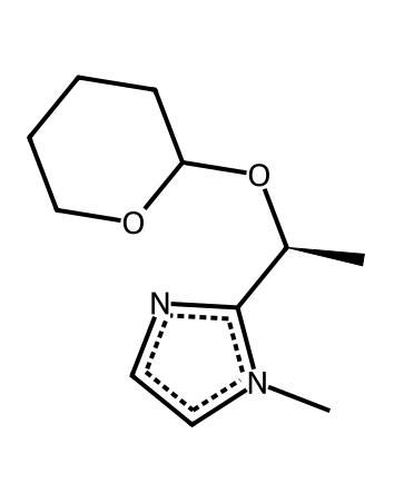 C[C@H](OC1CCCCO1)c1nccn1C